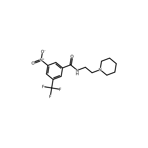 O=C(NCCN1CCCCC1)c1cc([N+](=O)[O-])cc(C(F)(F)F)c1